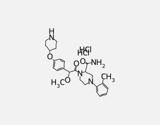 COC(C(=O)N1CCN(c2ccccc2C)CC1C(N)=O)c1ccc(OC2CCNCC2)cc1.Cl.Cl